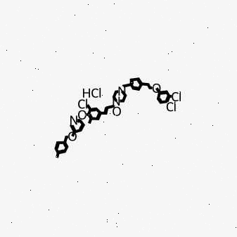 Cc1ccc(COc2ccc(Oc3c(C)cc(/C=C/C(=O)N4CCN(Cc5ccc(CCOc6ccc(Cl)c(Cl)c6)cc5)CC4)cc3Cl)nc2)cc1.Cl